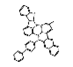 Cc1cc2c3c(c1)N1c4c(cccc4C4c5ccccc5SC41)B3N(c1ccc(-c3ccccc3)cc1)c1cc3ccccc3cc1-2